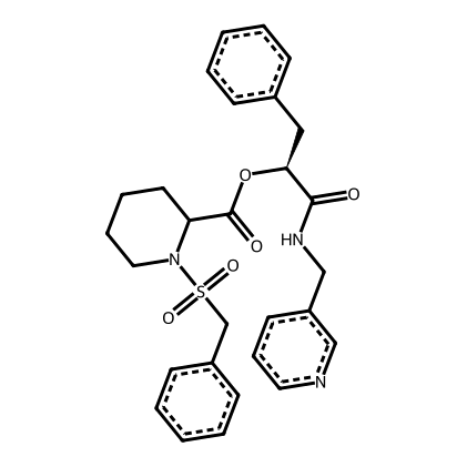 O=C(O[C@@H](Cc1ccccc1)C(=O)NCc1cccnc1)C1CCCCN1S(=O)(=O)Cc1ccccc1